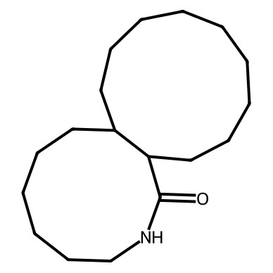 O=C1NCCCCCCC2CCCCCCCCCC12